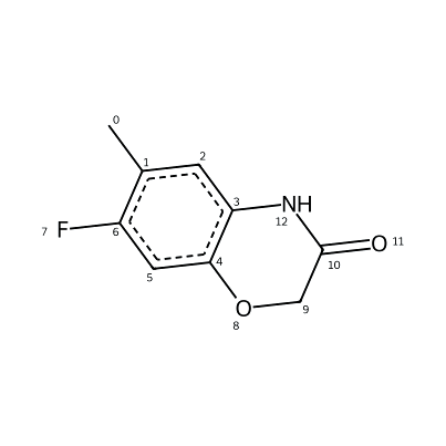 Cc1cc2c(cc1F)OCC(=O)N2